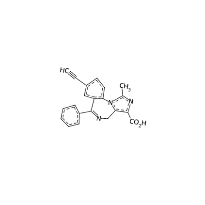 C#Cc1ccc2c(c1)C(c1ccccc1)=NCc1c(C(=O)O)nc(C)n1-2